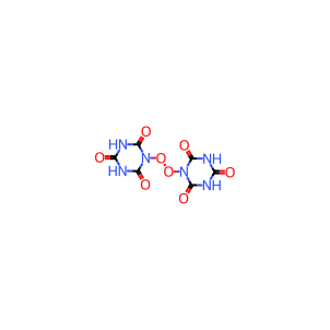 O=c1[nH]c(=O)n(OOn2c(=O)[nH]c(=O)[nH]c2=O)c(=O)[nH]1